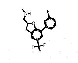 CNCC1Cc2cc(C(F)(F)F)cc(-c3cccc(F)c3)c2O1